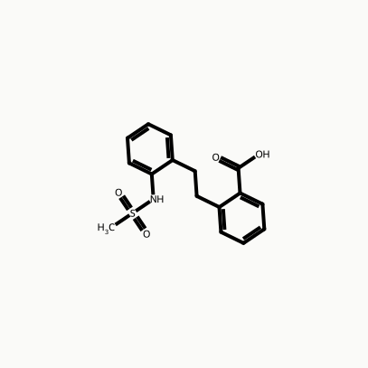 CS(=O)(=O)Nc1ccccc1CCc1ccccc1C(=O)O